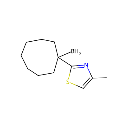 BC1(c2nc(C)cs2)CCCCCCC1